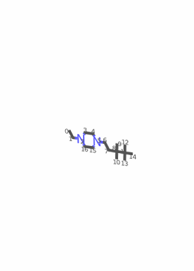 CCN1CCN(CCC(C)(C)C(C)(C)C)CC1